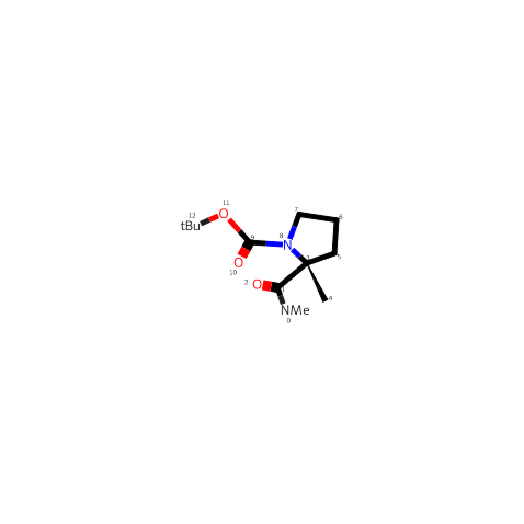 CNC(=O)[C@@]1(C)CCCN1C(=O)OC(C)(C)C